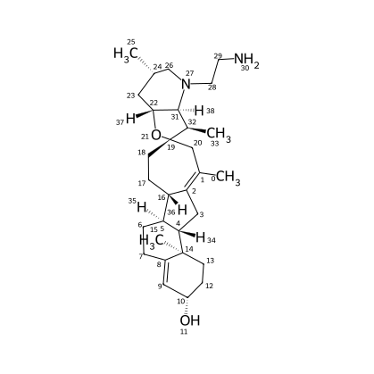 CC1=C2C[C@H]3[C@@H](CCC4=C[C@@H](O)CC[C@@]43C)[C@@H]2CC[C@@]2(C1)O[C@@H]1C[C@H](C)CN(CCN)[C@H]1[C@H]2C